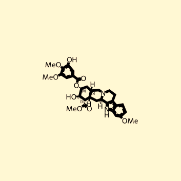 COC(=O)[C@@H]1[C@@H](O)[C@H](OC(=O)c2cc(O)c(OC)c(OC)c2)C[C@@H]2CN3CCc4c([nH]c5cc(OC)ccc45)[C@H]3C[C@@H]21